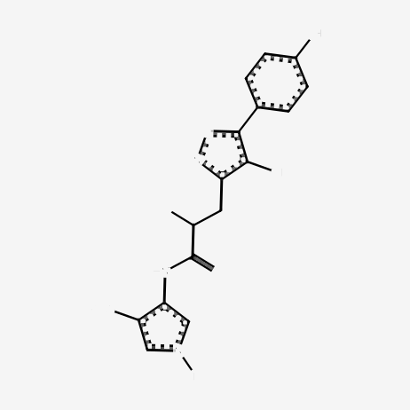 CCn1cc(NC(=O)C(F)Cc2noc(-c3ccc(O)cc3)c2Cl)c(C(=O)O)c1